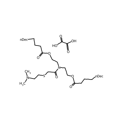 CCCCCCCCCCCCCC(=O)OCCN(CCOC(=O)CCCCCCCCCCCCC)C(=O)CSCCN(C)C.O=C(O)C(=O)O